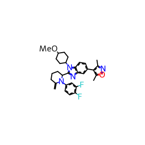 C=C1CCCC(c2nc3cc(-c4c(C)noc4C)ccc3n2C2CCC(OC)CC2)N1c1ccc(F)c(F)c1